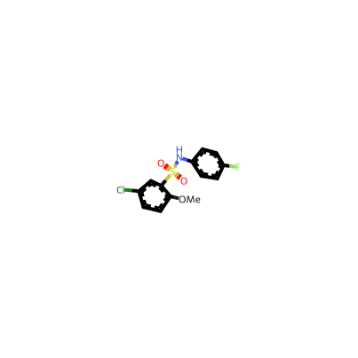 COc1ccc(Cl)cc1S(=O)(=O)Nc1ccc(F)cc1